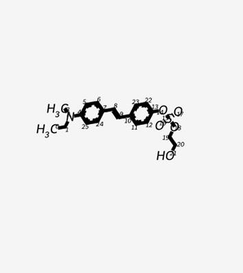 CCN(C)c1ccc(C=Cc2ccc(OS(=O)(=O)OCCO)cc2)cc1